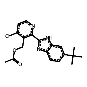 CC(=O)OCc1c(Cl)ccnc1-c1nc2ccc(C(C)(C)C)cc2[nH]1